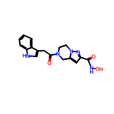 O=C(NO)c1cc2n(n1)CCN(C(=O)Cc1c[nH]c3ccccc13)C2